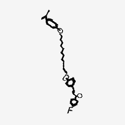 C=C(C)c1ccc(OCCCCCCCCCCCCOc2ccc(C=CC(=O)c3ccc(F)cc3)cc2)cc1